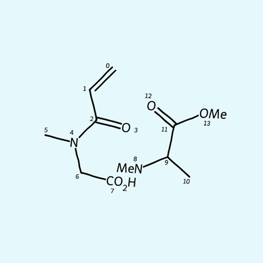 C=CC(=O)N(C)CC(=O)O.CNC(C)C(=O)OC